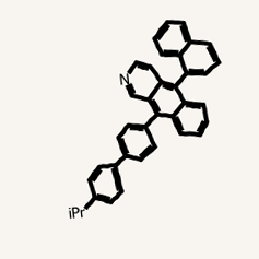 CC(C)c1ccc(-c2ccc(-c3c4ccccc4c(-c4cccc5ccccc45)c4ccncc34)cc2)cc1